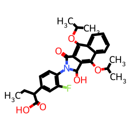 CCC(C(=O)O)c1ccc(N2C(=O)c3c(c(OC(C)C)c4ccccc4c3OC(C)C)C2O)c(F)c1